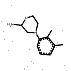 Cc1cccc(N2CC[N]C(N)C2)c1C